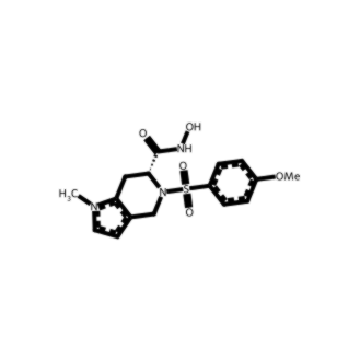 COc1ccc(S(=O)(=O)N2Cc3ccn(C)c3C[C@@H]2C(=O)NO)cc1